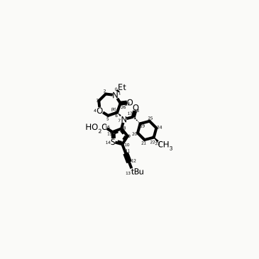 CCN1CCOC[C@@H](N(c2cc(C#CC(C)(C)C)sc2C(=O)O)C(=O)[C@H]2CC[C@H](C)CC2)C1=O